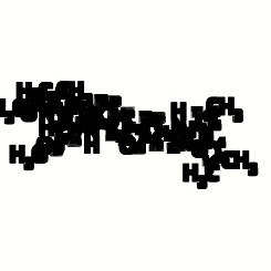 CCC(C)CC(=O)N1C[C@@H](C)CC1c1ncc(-c2ccc3c(c2)COc2cc4c(ccc5nc([C@@H]6CC(COC)CN6C(=O)[C@@H](NC(=O)OC)C(C)C)[nH]c54)cc2-3)[nH]1